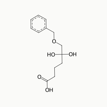 O=C(O)CCCC(O)(O)COCc1ccccc1